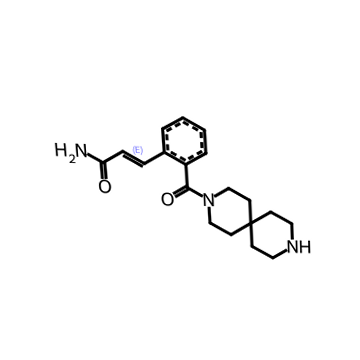 NC(=O)/C=C/c1ccccc1C(=O)N1CCC2(CCNCC2)CC1